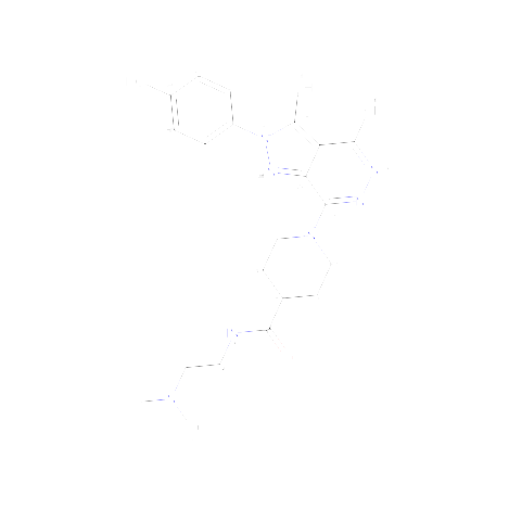 CCN(CC)CCNC(=O)C1CCN(c2nnc(C)c3c(C)n(-c4ccc(C)cc4)nc23)CC1